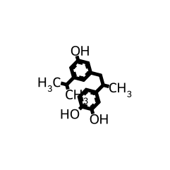 CC(C)c1cc(O)cc(CC(C)c2ccc(O)c(O)c2)c1